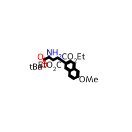 CCOC(=O)C(CCC(N)C(=O)OC(C)(C)C)(C(=O)OCC)c1ccc2cc(OC)ccc2c1